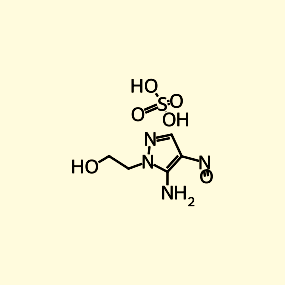 Nc1c(N=O)cnn1CCO.O=S(=O)(O)O